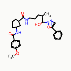 CC(CCCNC(=O)C1CCCC(NC(=O)c2ccc(OC(F)(F)F)cc2)C1)C(O)N1NC=C(c2ccccc2)O1